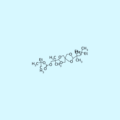 CCC(C)(CC)CC(C)(C)C1OCC2(COC(C(C)(C)COC(=O)OC(C)(C)CC)OC2)CO1